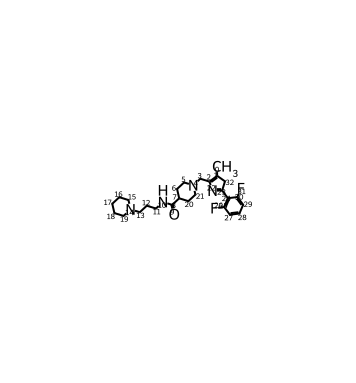 CC1=C(CN2CCC(C(=O)NCCCN3CCCCC3)CC2)N=C(c2c(F)cccc2F)C1